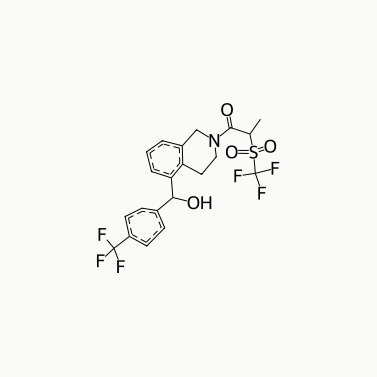 CC(C(=O)N1CCc2c(cccc2C(O)c2ccc(C(F)(F)F)cc2)C1)S(=O)(=O)C(F)(F)F